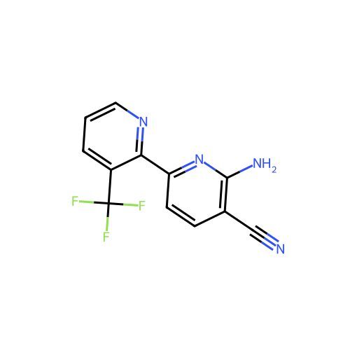 N#Cc1ccc(-c2ncccc2C(F)(F)F)nc1N